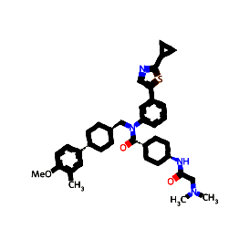 COc1ccc([C@H]2CC[C@H](CN(c3cccc(-c4cnc(C5CC5)s4)c3)C(=O)[C@H]3CC[C@H](NC(=O)CN(C)C)CC3)CC2)cc1C